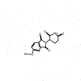 CCCOc1ccc2c(c1)C(=O)N(C1CCC(=O)NC1=O)C2=O